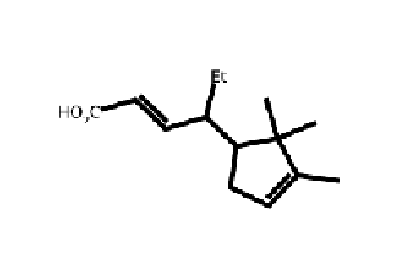 CCC(C=CC(=O)O)C1CC=C(C)C1(C)C